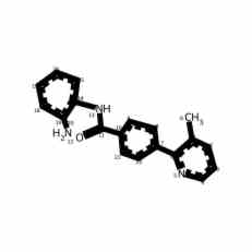 Cc1cccnc1-c1ccc(C(=O)Nc2ccccc2N)cc1